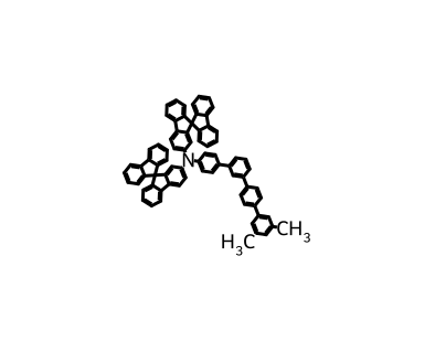 Cc1cc(C)cc(-c2ccc(-c3cccc(-c4ccc(N(c5ccc6c(c5)C5(c7ccccc7-c7ccccc75)c5ccccc5-6)c5ccc6c(c5)C5(c7ccccc7-c7ccccc75)c5ccccc5-6)cc4)c3)cc2)c1